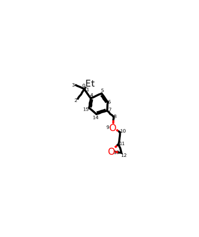 CCC(C)(C)c1ccc(COCC2CO2)cc1